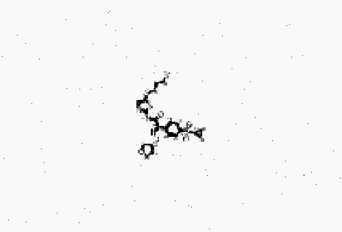 O=C(Nc1ncc(SCCCBr)s1)/C(=N/O[C@@H]1CCOC1)c1ccc(S(=O)(=O)C2CC2)cc1